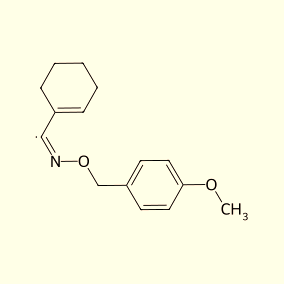 COc1ccc(CO/N=[C]\C2=CCCCC2)cc1